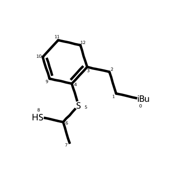 CCC(C)CCC1=C(SC(C)S)C=CCC1